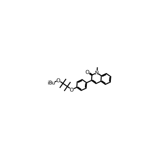 CCC(C)OC(C)(C)C(C)(C)Oc1ccc(-c2cc3ccccc3n(C)c2=O)cc1